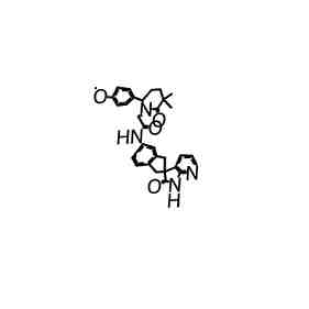 COc1ccc(C2CCC(C)(C)C(=O)N2CC(=O)Nc2ccc3c(c2)CC2(C3)C(=O)Nc3ncccc32)cc1